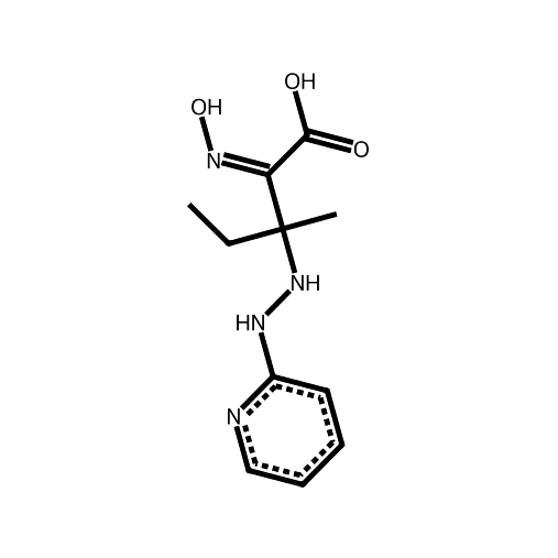 CCC(C)(NNc1ccccn1)C(=NO)C(=O)O